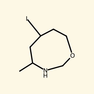 CC1CC(I)CCOCN1